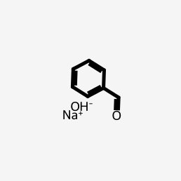 O=Cc1ccccc1.[Na+].[OH-]